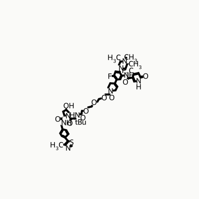 Cc1ncsc1-c1ccc(CNC(=O)[C@@H]2C[C@@H](O)CN2C(=O)C(NC(=O)COCCOCCOCC(=O)N2CC=C(c3cc(NC(=O)c4c[nH]c(=O)cc4C(F)(F)F)c(N4C[C@@H](C)N(C)[C@@H](C)C4)cc3F)CC2)C(C)(C)C)cc1